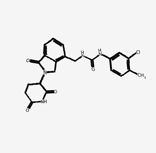 Cc1ccc(NC(=O)NCc2cccc3c2CN(C2CCC(=O)NC2=O)C3=O)cc1Cl